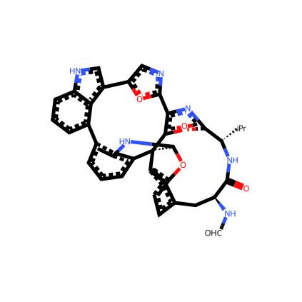 CC(C)[C@@H]1NC(=O)[C@@H](NC=O)Cc2ccc3c(c2)[C@]24c5cccc(c5NC2O3)-c2cccc3[nH]cc(c23)-c2cnc(o2)-c2nc1oc24